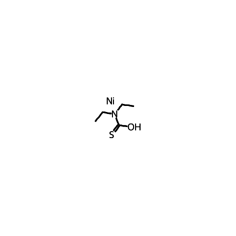 CCN(CC)C(O)=S.[Ni]